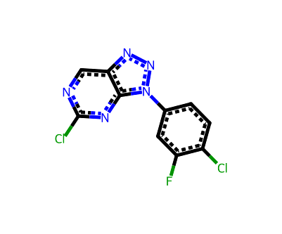 Fc1cc(-n2nnc3cnc(Cl)nc32)ccc1Cl